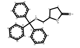 O=C1CCC(COC(c2ccccc2)(c2ccccc2)c2ccccc2)O1